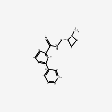 CN1CC[C@@H]1CNC(=O)c1cccc(-c2cccnc2)n1